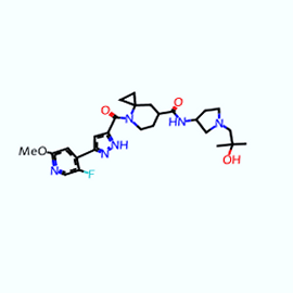 COc1cc(-c2cc(C(=O)N3CCC(C(=O)NC4CCN(CC(C)(C)O)C4)CC34CC4)[nH]n2)c(F)cn1